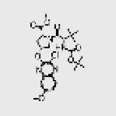 COC(=O)[C@@H]1C[C@@H](Oc2nc3cc(OC)ccc3nc2Cl)CN1C(=O)[C@@H](NC(=O)OC(C)(C)C)C(C)(C)C